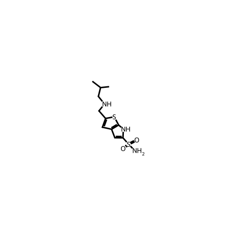 CC(C)CNCc1cc2cc(S(N)(=O)=O)[nH]c2s1